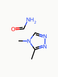 Cc1nncn1C.NC=O